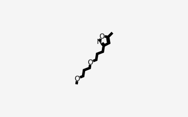 COCCCOCCCc1cc(C)on1